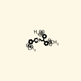 CS(=O)(=O)c1cccc(C2CCN(CCC(c3cccc(S(C)(=O)=O)c3)c3cccc(S(C)(=O)=O)c3)CC2)c1